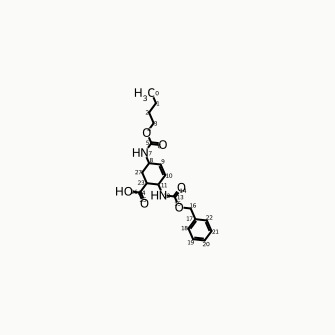 CCCCOC(=O)NC1C=CC(NC(=O)OCc2ccccc2)C(C(=O)O)C1